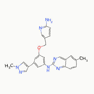 Cc1ccc2nc(Nc3cc(OCc4ccc(N)nc4)cc(-c4cnn(C)c4)c3)ncc2c1